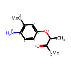 CNC(=O)C(C)Oc1ccc(N)c(OC)c1